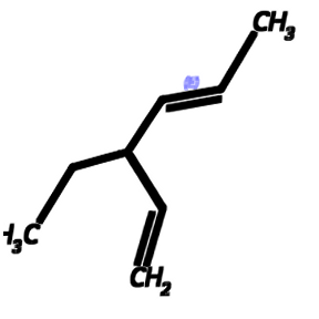 C=C[C](/C=C/C)CC